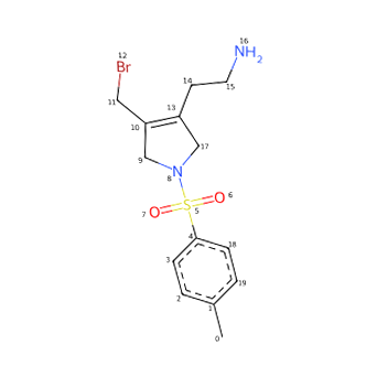 Cc1ccc(S(=O)(=O)N2CC(CBr)=C(CCN)C2)cc1